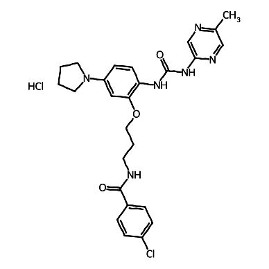 Cc1cnc(NC(=O)Nc2ccc(N3CCCC3)cc2OCCCNC(=O)c2ccc(Cl)cc2)cn1.Cl